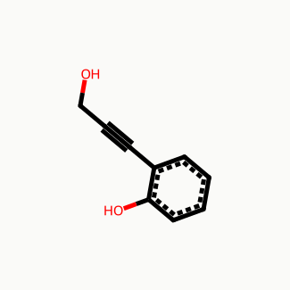 OCC#Cc1ccccc1O